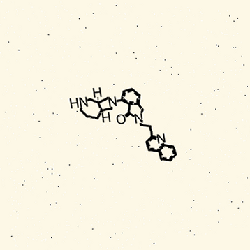 O=C1c2c(cccc2N2C[C@H]3CCCNC[C@H]3C2)CN1CCc1ccc2ccccc2n1